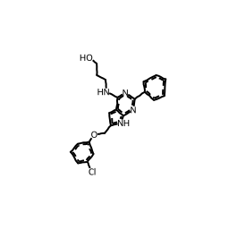 OCCCNc1nc(-c2ccccc2)nc2[nH]c(COc3cccc(Cl)c3)cc12